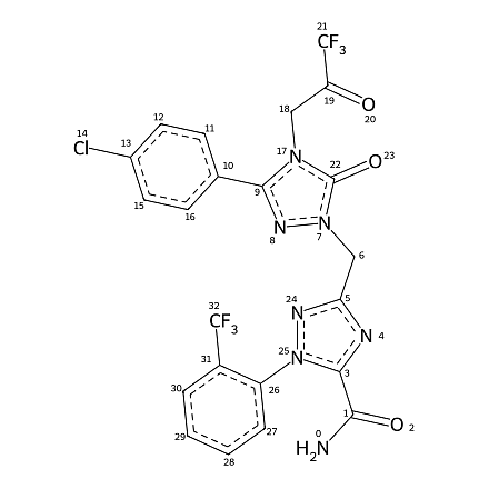 NC(=O)c1nc(Cn2nc(-c3ccc(Cl)cc3)n(CC(=O)C(F)(F)F)c2=O)nn1-c1ccccc1C(F)(F)F